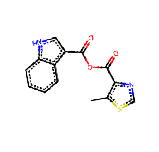 Cc1scnc1C(=O)OC(=O)c1c[nH]c2ccccc12